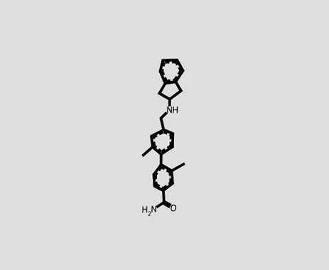 Cc1cc(CNC2Cc3ccccc3C2)ccc1-c1ccc(C(N)=O)cc1C